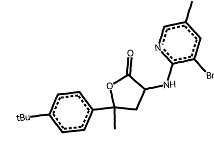 Cc1cnc(NC2CC(C)(c3ccc(C(C)(C)C)cc3)OC2=O)c(Br)c1